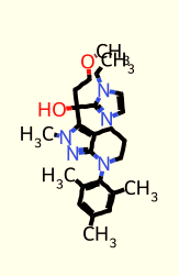 CCn1ccnc1C(O)(CCOC)c1c2c(nn1C)N(c1c(C)cc(C)cc1C)CCC2